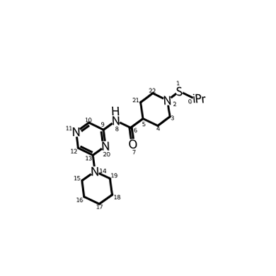 CC(C)SN1CCC(C(=O)Nc2cncc(N3CCCCC3)n2)CC1